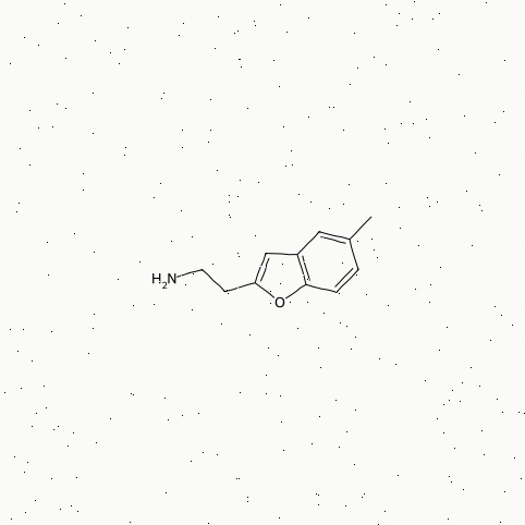 Cc1ccc2oc(CCN)cc2c1